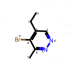 CCc1cnnc(C)c1Br